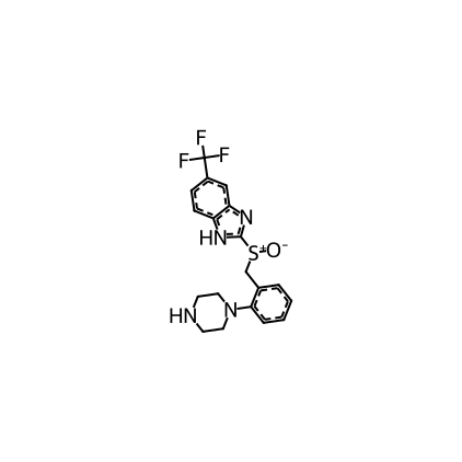 [O-][S+](Cc1ccccc1N1CCNCC1)c1nc2cc(C(F)(F)F)ccc2[nH]1